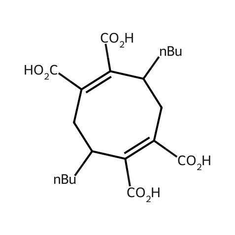 CCCCC1CC(C(=O)O)=C(C(=O)O)C(CCCC)CC(C(=O)O)=C1C(=O)O